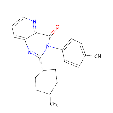 N#Cc1ccc(-n2c(=O)c3ncccc3nc2[C@H]2CC[C@@H](C(F)(F)F)CC2)cc1